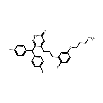 O=C(O)CCCOc1ccc(F)c(CCCc2cc(=O)[nH]nc2C(c2ccc(F)cc2)c2ccc(F)cc2)c1